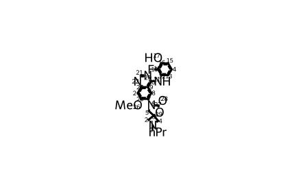 CCCN1CC2(C1)CN(c1cc3c(Nc4cccc(O)c4F)ncnc3cc1OC)C(=O)O2